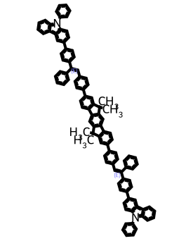 CC1(C)c2cc(-c3ccc(/C=C(\c4ccccc4)c4ccc(-c5ccc6c(c5)c5ccccc5n6-c5ccccc5)cc4)cc3)ccc2-c2cc3c(cc21)-c1ccc(-c2ccc(/C=C(\c4ccccc4)c4ccc(-c5ccc6c(c5)c5ccccc5n6-c5ccccc5)cc4)cc2)cc1C3(C)C